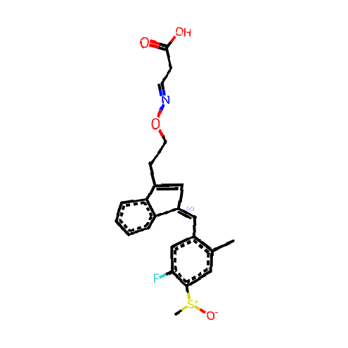 Cc1cc([S+](C)[O-])c(F)cc1/C=C1/C=C(CCON=CCC(=O)O)c2ccccc21